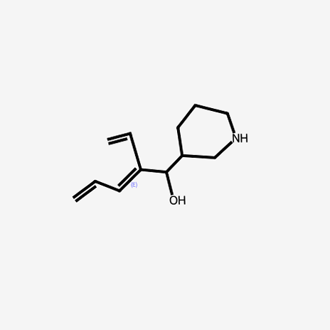 C=C/C=C(\C=C)C(O)C1CCCNC1